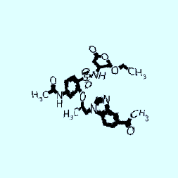 CCOC1OC(=O)CC1NS(=O)(=O)c1ccc(NC(C)=O)cc1O[C@H](C)Cn1cnc2cc(C(C)=O)ccc21